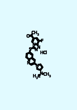 CC(=O)c1cc(F)c2nnc(Sc3ccc4ncc(N5CC[C@H](N(C)C)C5)cc4c3)n2c1.Cl